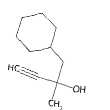 C#CC(C)(O)CC1CCCCC1